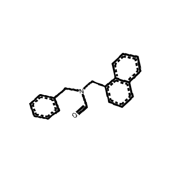 O=CN(Cc1ccccc1)Cc1cccc2ccccc12